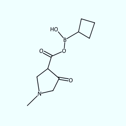 CN1CC(=O)C(C(=O)OB(O)C2CCC2)C1